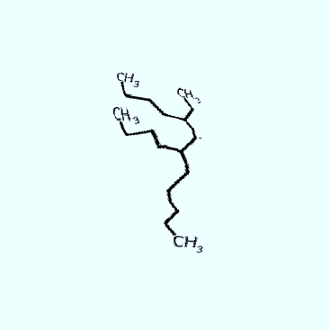 CCCCCC([CH]C(CC)CCCC)CCCC